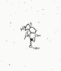 CC(C)(C)OC(=O)N[C@H]1[C@H]2CNC[C@H]2CC[C@@H]1O